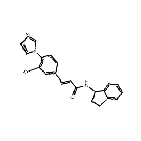 O=C(C=Cc1ccc(-n2ccnc2)c(Cl)c1)NC1CCc2ccccc21